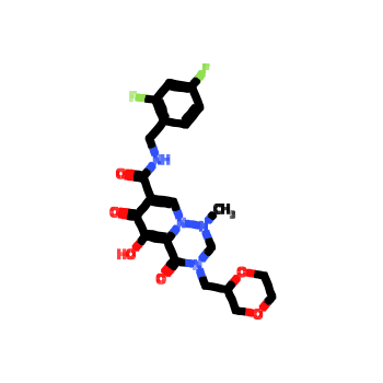 CN1CN(CC2COCCO2)C(=O)c2c(O)c(=O)c(C(=O)NCc3ccc(F)cc3F)cn21